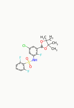 CC1(C)OB(c2cc(Cl)cc(NS(=O)(=O)c3c(F)cccc3F)c2F)OC1(C)C